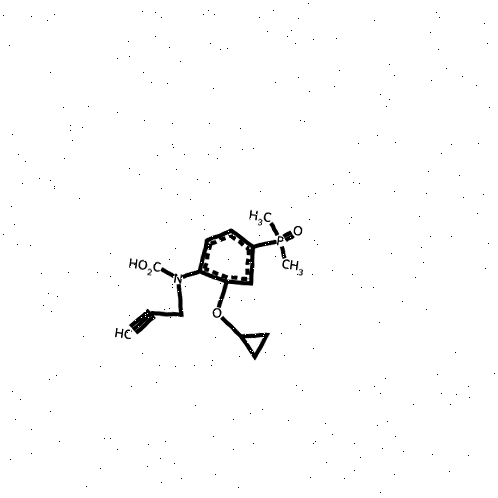 C#CCN(C(=O)O)c1ccc(P(C)(C)=O)cc1OC1CC1